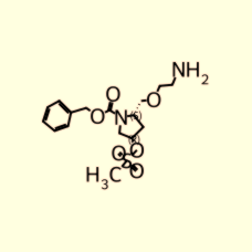 CS(=O)(=O)O[C@@H]1C[C@@H](COCCN)N(C(=O)OCc2ccccc2)C1